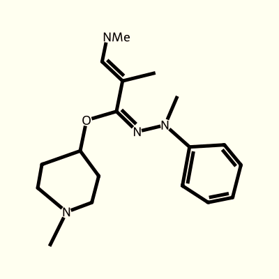 CN/C=C(C)/C(=N\N(C)c1ccccc1)OC1CCN(C)CC1